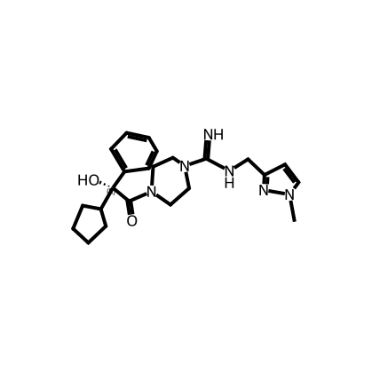 Cn1ccc(CNC(=N)N2CCN(C(=O)[C@](O)(c3ccccc3)C3CCCC3)CC2)n1